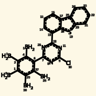 Bc1c(B)c(B)c(-c2nc(Cl)nc(-c3cccc4c3sc3ccccc34)n2)c(B)c1B